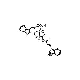 O=C(/C=C/c1c[nH]c2ccccc12)O[C@@H]1CO[C@H]2[C@H]1OC[C@@H]2/C(=C\c1c[nH]c2ccccc12)C(=O)O